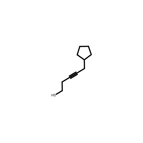 SCCC#CCC1CCCC1